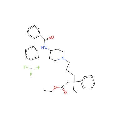 CCOC(=O)CC(CC)(CCCN1CCC(NC(=O)c2ccccc2-c2ccc(C(F)(F)F)cc2)CC1)c1ccccc1